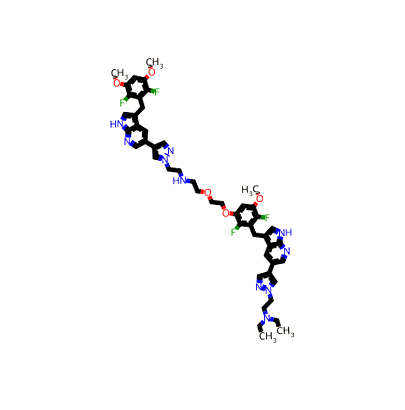 CCN(CC)CCn1cc(-c2cnc3[nH]cc(Cc4c(F)c(OC)cc(OCCOCCNCCn5cc(-c6cnc7[nH]cc(Cc8c(F)c(OC)cc(OC)c8F)c7c6)cn5)c4F)c3c2)cn1